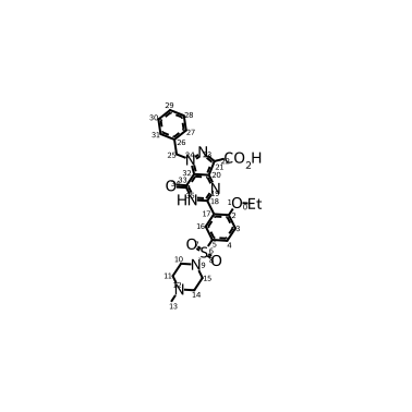 CCOc1ccc(S(=O)(=O)N2CCN(C)CC2)cc1-c1nc2c(C(=O)O)nn(Cc3ccccc3)c2c(=O)[nH]1